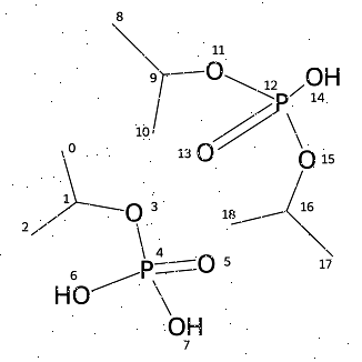 CC(C)OP(=O)(O)O.CC(C)OP(=O)(O)OC(C)C